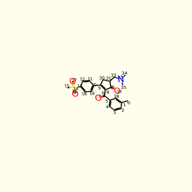 Cc1cccc(C(=O)C2=C(c3ccc(S(C)(=O)=O)cc3)CC(CN(C)C)C2=O)c1